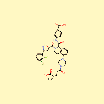 C[C@@H](CCC(=O)N1CCN(c2cccc3c2CCN(C(=O)C2CC(c4cccc(Cl)c4F)=NO2)C3C(=O)Nc2ccc(C(=O)O)cc2)CC1)C(=O)O